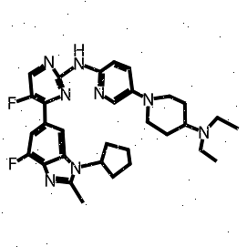 CCN(CC)C1CCN(c2ccc(Nc3ncc(F)c(-c4cc(F)c5nc(C)n(C6CCCC6)c5c4)n3)nc2)CC1